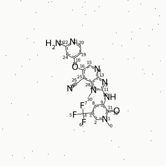 Cn1cc(C(F)(F)F)cc(Nc2nc3ncc(Oc4ccnc(N)c4)c(C#N)c3n2C)c1=O